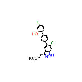 O=C(O)CCc1n[nH]c2cc(Cl)c(-c3ccc(-c4ccc(F)cc4O)cc3)cc12